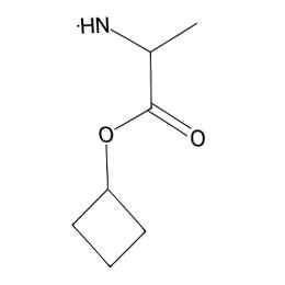 CC([NH])C(=O)OC1CCC1